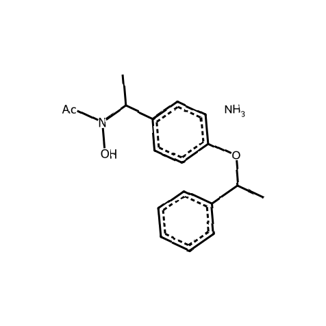 CC(=O)N(O)C(C)c1ccc(OC(C)c2ccccc2)cc1.N